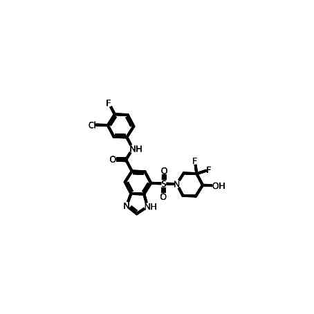 O=C(Nc1ccc(F)c(Cl)c1)c1cc(S(=O)(=O)N2CCC(O)C(F)(F)C2)c2[nH]cnc2c1